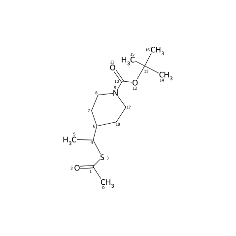 CC(=O)SC(C)C1CCN(C(=O)OC(C)(C)C)CC1